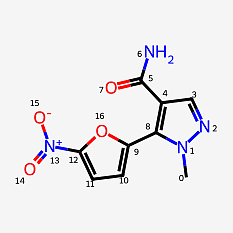 Cn1ncc(C(N)=O)c1-c1ccc([N+](=O)[O-])o1